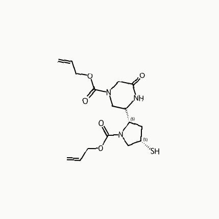 C=CCOC(=O)N1CC(=O)NC([C@@H]2C[C@H](S)CN2C(=O)OCC=C)C1